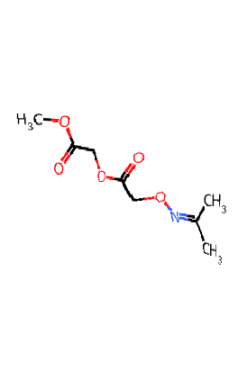 COC(=O)COC(=O)CON=C(C)C